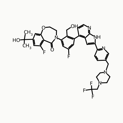 CC(C)(O)c1cc(F)c2c(c1)OCCN(c1cc(F)cc(-c3ccnc4[nH]c(-c5ccc(CN6CCN(CC(F)(F)F)CC6)cn5)cc34)c1CO)C2=O